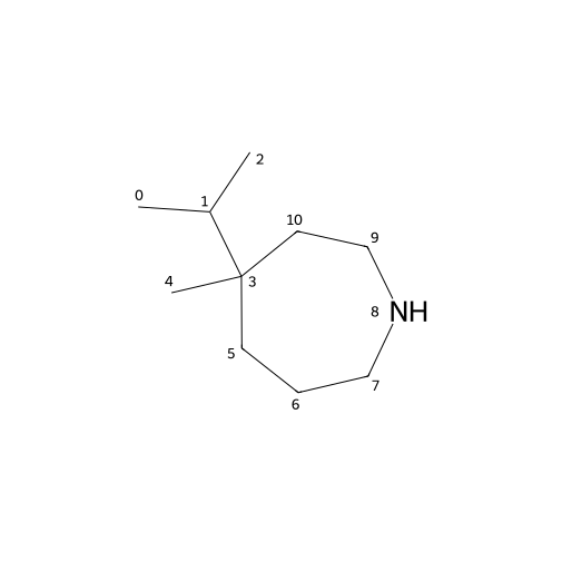 CC(C)C1(C)CCCNCC1